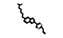 C=CCc1ncc(-c2ccc3cc(CCCCCC(C)F)ccc3c2)cn1